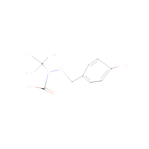 CC(C)(C)N(NCc1ccc(O)cc1)C(=O)O